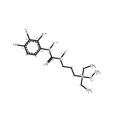 CC[Si](CC)(CCCN(F)C(=O)N(F)c1ccc(F)c(F)c1F)OC